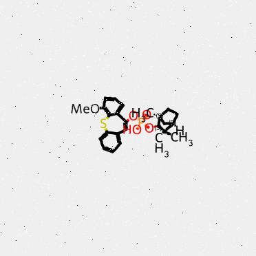 COc1cccc2c1Sc1ccccc1C=C2OP(=O)(O)O[C@@H]1C(C)(C)[C@@H]2CC[C@@]1(C)C2